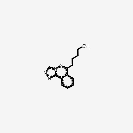 CCCCCc1nn2cnnc2c2ccccc12